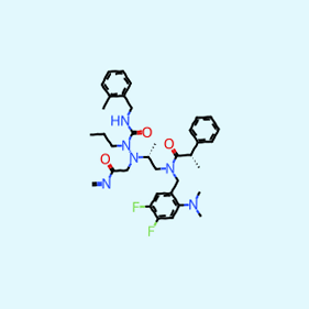 C=NC(=O)CN([C@H](C)CN(Cc1cc(F)c(F)cc1N(C)C)C(=O)[C@@H](C)c1ccccc1)N(CCC)C(=O)NCc1ccccc1C